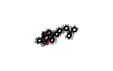 c1ccc(N(c2ccccc2)c2cccc(-c3ccc4cc(B5c6ccccc6C6(c7ccccc75)c5ccccc5B5c7ccccc7Sc7cccc6c75)ccc4c3)c2)cc1